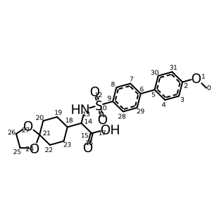 COc1ccc(-c2ccc(S(=O)(=O)NC(C(=O)O)C3CCC4(CC3)OCCO4)cc2)cc1